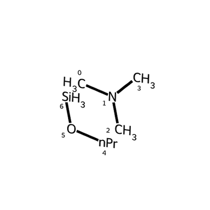 CN(C)C.[CH2]CCO[SiH3]